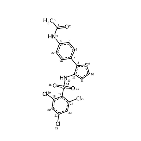 CC(=O)Nc1ccc(-c2sccc2NS(=O)(=O)c2c(Cl)cc(Cl)cc2Cl)cc1